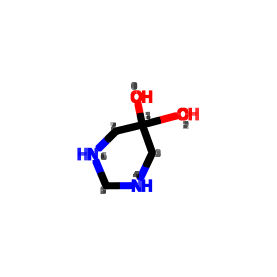 OC1(O)CNCNC1